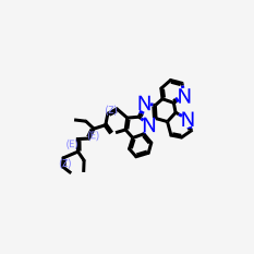 C=C(/C=C\c1c(C)c2ccccc2n2c3c(nc12)-c1cccnc1C1N=CC=CC31)/C(=C/C=C(/C=C\C)CC)CC